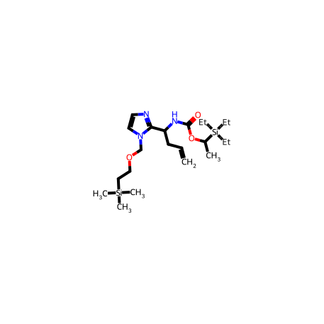 C=CCC(NC(=O)OC(C)[Si](CC)(CC)CC)c1nccn1COCC[Si](C)(C)C